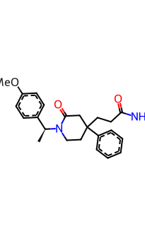 COc1ccc([C@H](C)N2CCC(CCC(N)=O)(c3ccccc3)CC2=O)cc1